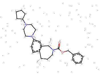 C[C@H]1CCN(C(=O)OCc2ccccc2)[C@@H](C)c2cc(N3CCN(C4CCCC4)CC3)ccc21